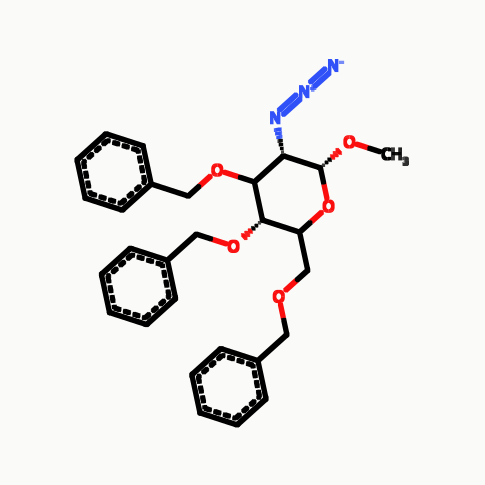 CO[C@@H]1OC(COCc2ccccc2)[C@H](OCc2ccccc2)C(OCc2ccccc2)[C@@H]1N=[N+]=[N-]